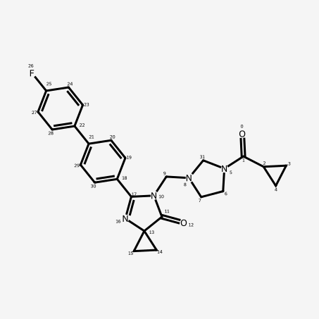 O=C(C1CC1)N1CCN(CN2C(=O)C3(CC3)N=C2c2ccc(-c3ccc(F)cc3)cc2)C1